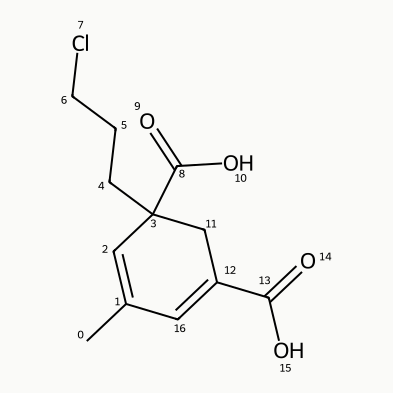 CC1=CC(CCCCl)(C(=O)O)CC(C(=O)O)=C1